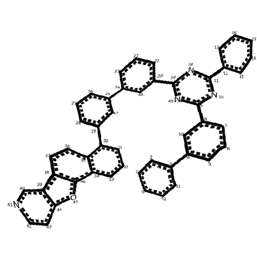 c1ccc(-c2cccc(-c3nc(-c4ccccc4)nc(-c4cccc(-c5cccc(-c6cccc7c6ccc6c8cnccc8oc76)c5)c4)n3)c2)cc1